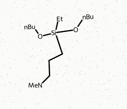 CCCCO[Si](CC)(CCCNC)OCCCC